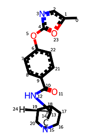 Cc1cnc(Oc2ccc(C(=O)N[C@H]3CN4CCC3CC4)cc2)o1